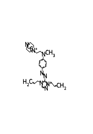 C=CCn1cn[n+](CC=C)c1/N=N/c1ccc(N(C)CC[N+]23CCN(CC2)CC3)cc1